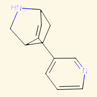 C1=C(c2cccnc2)C2CCC1NC2